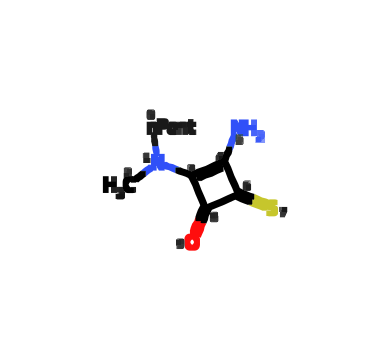 CCCCCN(C)c1c(N)c(=S)c1=O